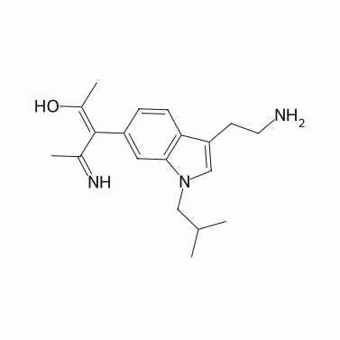 CC(=N)/C(=C(/C)O)c1ccc2c(CCN)cn(CC(C)C)c2c1